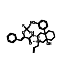 C=CC[N@+]1(C)CC2(O)CCCCC2(c2cccc(O)c2)C[C@H]1NC(=O)C(=Cc1ccccc1)OC(F)(F)F